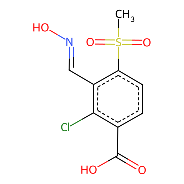 CS(=O)(=O)c1ccc(C(=O)O)c(Cl)c1C=NO